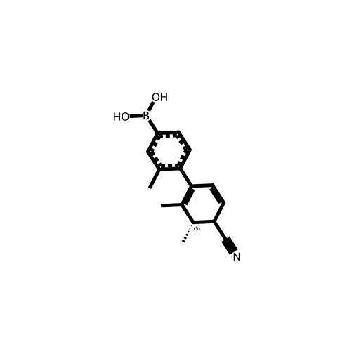 CC1=C(c2ccc(B(O)O)cc2C)C=CC(C#N)[C@@H]1C